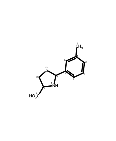 Cc1cccc(C2NC(C(=O)O)CS2)c1